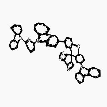 c1cc(-n2c3ccccc3c3ccccc32)nc(-n2c3ccccc3c3cc(-c4ccc5c(c4)C4(c6cc(-n7c8ccccc8c8ccccc87)ccc6O5)c5cccnc5-c5ncccc54)ccc32)c1